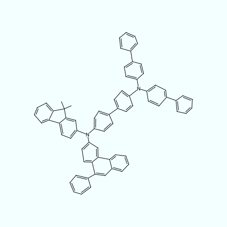 CC1(C)c2ccccc2-c2ccc(N(c3ccc(-c4ccc(N(c5ccc(-c6ccccc6)cc5)c5ccc(-c6ccccc6)cc5)cc4)cc3)c3ccc4c(-c5ccccc5)cc5ccccc5c4c3)cc21